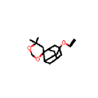 C=COC12CC3CC(C1)C1(CC(C)(C)OCO1)C(C3)C2